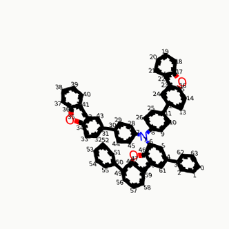 c1ccc(-c2cc(N(c3ccc(-c4ccc5oc6ccccc6c5c4)cc3)c3ccc(-c4ccc5oc6ccccc6c5c4)cc3)c3oc4c(-c5ccccc5)cccc4c3c2)cc1